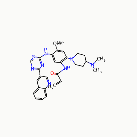 C=CC(=O)Nc1cc(Nc2ncnc(-c3cnc4ccccc4c3)n2)c(OC)cc1N1CCC(N(C)C)CC1